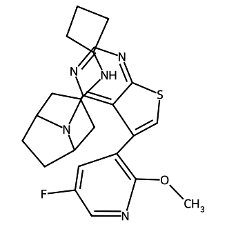 COc1ncc(F)cc1-c1csc2ncnc(N3C4CCC3CC(NC3CCC3)C4)c12